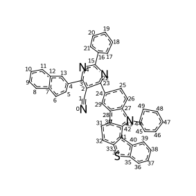 N#Cc1c(-c2ccc3ccccc3c2)nc(-c2ccccc2)nc1-c1ccc2c(c1)c1ccc3sc4ccccc4c3c1n2-c1ccccc1